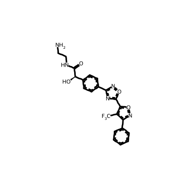 NCCNC(=O)[C@H](O)c1ccc(-c2noc(-c3onc(-c4ccccc4)c3C(F)(F)F)n2)cc1